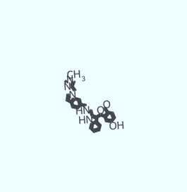 Cn1cnc(Cn2ccc3ccc(CNCc4[nH]c5ccccc5c4C4OC(=O)c5ccc(O)cc54)cc32)c1